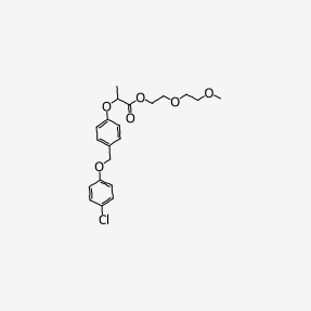 COCCOCCOC(=O)C(C)Oc1ccc(COc2ccc(Cl)cc2)cc1